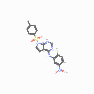 Cc1ccc(S(=O)(=O)n2ccc3c(Nc4cc([N+](=O)[O-])ccc4F)ncnc32)cc1